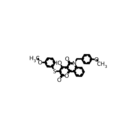 COc1ccc(Cn2c(=O)c3c(O)c(Sc4cccc(OC)c4)c(=O)oc3c3ccccc32)cc1